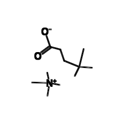 CC(C)(C)CCC(=O)[O-].C[N+](C)(C)C